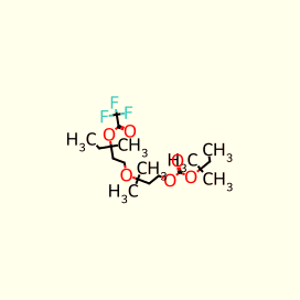 CCC(C)(C)OC(=O)OCCC(C)(C)OCCC(C)(CC)OC(=O)C(F)(F)F